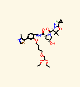 CCOC(COCCCCOc1cc(-c2scnc2C)ccc1CNC(=O)[C@@H]1C[C@@H](O)CN1C(=O)[C@@H](NC(=O)C1(F)CC1)C(C)(C)C)OCC